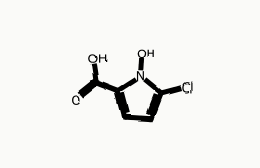 O=C(O)c1ccc(Cl)n1O